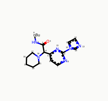 CCCCNC(=O)C(c1ccnc(-n2ccnc2)n1)N1CCCCC1